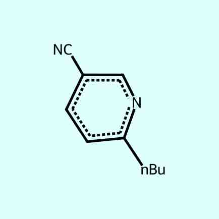 CCCCc1ccc(C#N)cn1